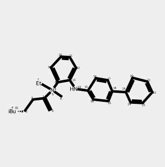 C=C(CC[C@@H](C)CC)[N+](C)(CC)c1ccccc1Nc1ccc(-c2ccccc2)cc1